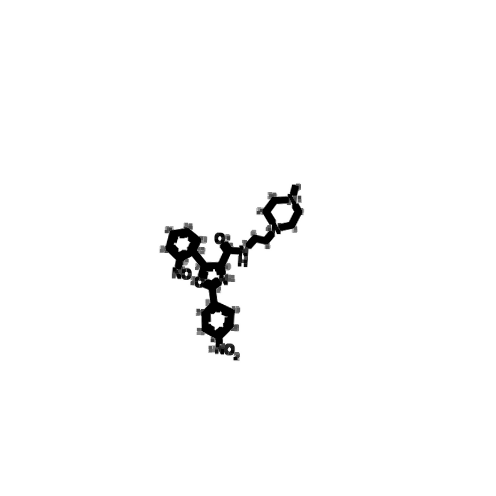 CN1CCN(CCNC(=O)c2nc(-c3ccc([N+](=O)[O-])cc3)oc2-c2ccccc2[N+](=O)[O-])CC1